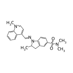 CC1Cc2cc(S(=O)(=O)N(C)C)ccc2N1/N=C/c1cc[n+](C)c2ccccc12